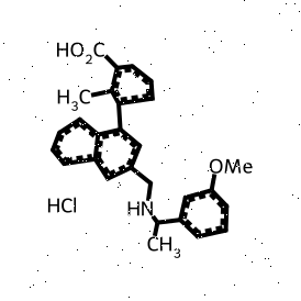 COc1cccc(C(C)NCc2cc(-c3cccc(C(=O)O)c3C)c3ccccc3c2)c1.Cl